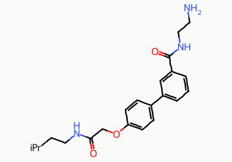 CC(C)CCNC(=O)COc1ccc(-c2cccc(C(=O)NCCN)c2)cc1